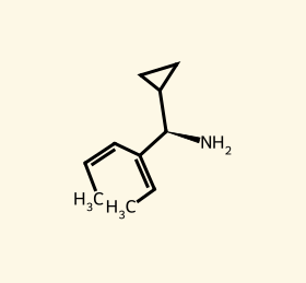 C/C=C\C(=C/C)[C@H](N)C1CC1